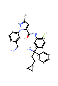 NCc1cccc(-n2nc(C(F)(F)F)cc2C(=O)Nc2cc(C(N)(CCC3CC3)c3ccccc3)ccc2F)c1